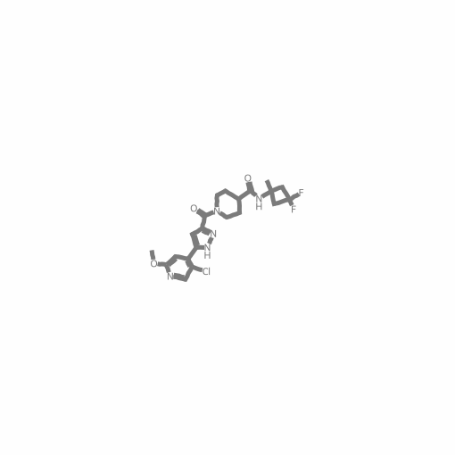 COc1cc(-c2cc(C(=O)N3CCC(C(=O)NC4(C)CC(F)(F)C4)CC3)n[nH]2)c(Cl)cn1